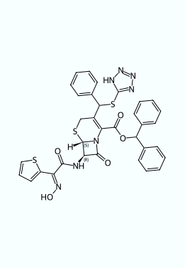 O=C(N[C@@H]1C(=O)N2C(C(=O)OC(c3ccccc3)c3ccccc3)=C(C(Sc3nnn[nH]3)c3ccccc3)CS[C@@H]12)C(=NO)c1cccs1